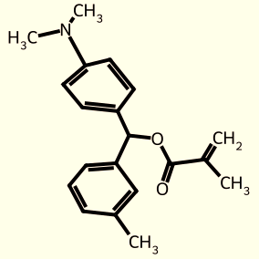 C=C(C)C(=O)OC(c1ccc(N(C)C)cc1)c1cccc(C)c1